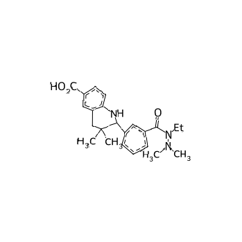 CCN(C(=O)c1cccc(C2Nc3ccc(C(=O)O)cc3CC2(C)C)c1)N(C)C